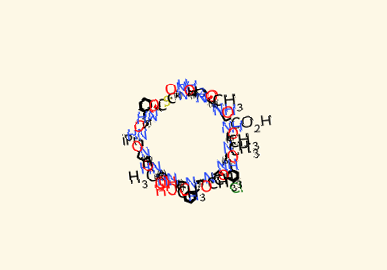 CC(C)C1NC(=O)[C@H](Cc2ccccc2)NC(=O)CSC[C@@H](C(N)=O)NC(=O)[C@@H]2CCCN2C(=O)[C@H](C)NC(=O)C(CC(=O)O)NC(=O)[C@H](C)N(C)C(=O)[C@H](Cc2ccc(Cl)cc2)NC(=O)[C@H](C)N(C)C(=O)[C@H](Cc2ccccc2)NC(=O)[C@H]([C@@H](C)O)NC(=O)[C@H]([C@@H](C)O)NC(=O)[C@@H]2CCCN2C1=O